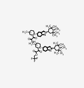 C[C@H]1CC[C@H](c2ccc3nn(C4CC(C)(C)N(C)C(C)(C)C4)cc3c2)N(C(=O)C(=O)OCC(F)(F)F)C1.C[C@H]1CC[C@H](c2ccc3nn(C4CC(C)(C)N(C)C(C)(C)C4)cc3c2)N(C(=O)C(N)=O)C1